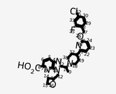 CC(c1nc2ccc(C(=O)O)nc2n1CC1CCO1)N1CCC(c2cccc(OCc3ccc(Cl)cc3F)n2)CC1